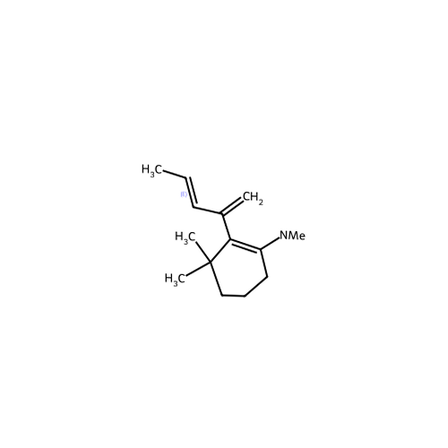 C=C(/C=C/C)C1=C(NC)CCCC1(C)C